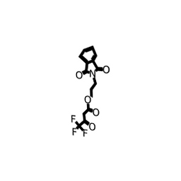 O=C(CC(=O)C(F)(F)F)OCCCN1C(=O)c2ccccc2C1=O